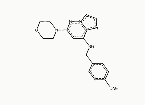 COc1ccc(CNc2cc(N3CCOCC3)nn3ccnc23)cc1